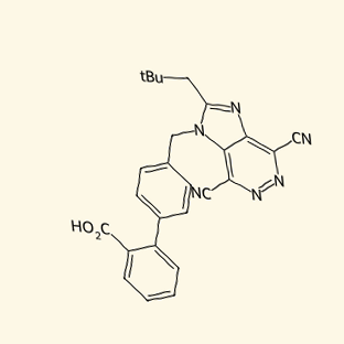 CC(C)(C)Cc1nc2c(C#N)nnc(C#N)c2n1Cc1ccc(-c2ccccc2C(=O)O)cc1